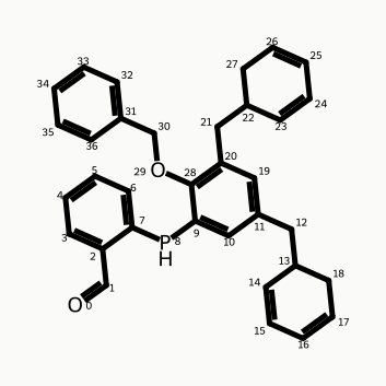 O=Cc1ccccc1Pc1cc(CC2C=CC=CC2)cc(CC2C=CC=CC2)c1OCc1ccccc1